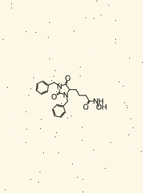 O=C(CCCC1C(=O)N(Cc2ccccc2)C(=O)N1Cc1ccccc1)NO